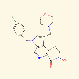 O=C1c2ncc3c(c(CN4CCOCC4)cn3Cc3ccc(F)cc3)c2CCN1O